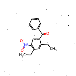 CCc1cc(CC)c([N+](=O)[O-])cc1C(=O)c1ccccc1